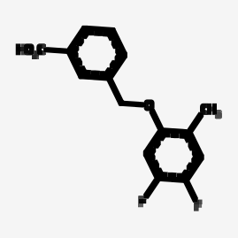 Cc1cc(F)c(F)cc1OCc1cccc(C(=O)O)c1